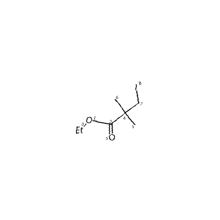 CCOC(=O)C(C)(C)CI